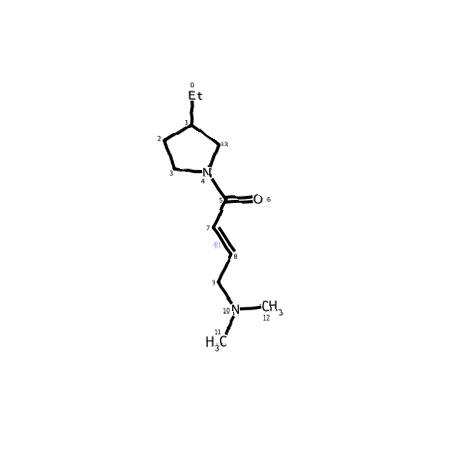 CCC1CCN(C(=O)/C=C/CN(C)C)C1